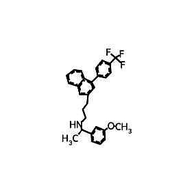 COc1cccc([C@@H](C)NCCCc2cc(-c3ccc(C(F)(F)F)cc3)c3ccccc3c2)c1